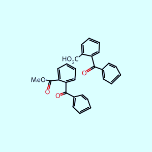 COC(=O)c1ccccc1C(=O)c1ccccc1.O=C(O)c1ccccc1C(=O)c1ccccc1